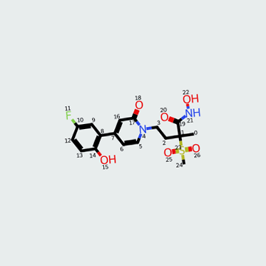 CC(CCn1ccc(-c2cc(F)ccc2O)cc1=O)(C(=O)NO)S(C)(=O)=O